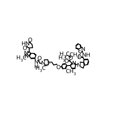 Cc1cc(OCCC[C@@H]2CCN(CC(=O)Nc3ccc4c(C5CCC(=O)NC5=O)nn(C)c4c3)[C@@H](C)C2)ccc1-c1ccc(N2CCc3cccc(C(=O)Nc4nc5ccccc5s4)c3C2)nc1C(=O)OC(C)(C)C